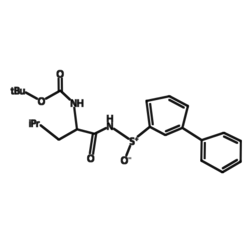 CC(C)CC(NC(=O)OC(C)(C)C)C(=O)N[S+]([O-])c1cccc(-c2ccccc2)c1